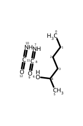 CCCCC(C)O.N=C=O.N=C=O